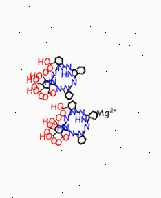 O=C(O)c1cccc2c1-c1nc-2nc2[nH]c(nc3nc(nc4[nH]c(n1)c1c(C(=O)O)c(C(=O)O)c(C(=O)O)c(C(=O)[O-])c41)-c1ccccc1-3)c1ccccc21.O=C(O)c1cccc2c1-c1nc-2nc2[nH]c(nc3nc(nc4[nH]c(n1)c1c(C(=O)O)c(C(=O)O)c(C(=O)O)c(C(=O)[O-])c41)-c1ccccc1-3)c1ccccc21.[Mg+2]